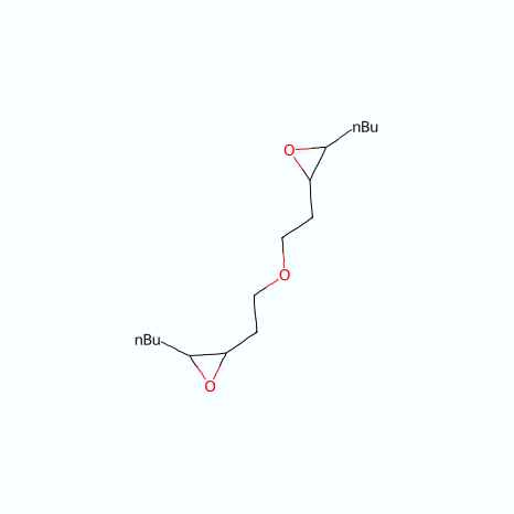 CCCCC1OC1CCOCCC1OC1CCCC